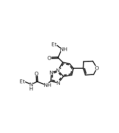 CCNC(=O)Nc1nc2cc(C3=CCOCC3)cc(C(=O)NCC)n2n1